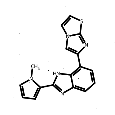 Cn1cccc1-c1nc2cccc(-c3cn4ccsc4n3)c2[nH]1